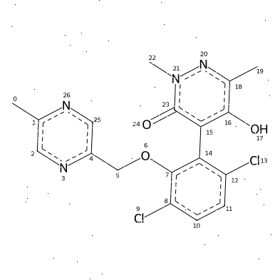 Cc1cnc(COc2c(Cl)ccc(Cl)c2-c2c(O)c(C)nn(C)c2=O)cn1